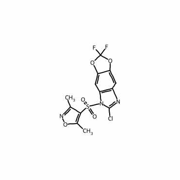 Cc1noc(C)c1S(=O)(=O)n1c(Cl)nc2cc3c(cc21)OC(F)(F)O3